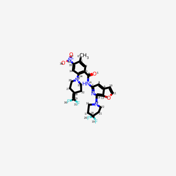 Cc1cc(C(=O)Nc2cc3ccoc3c(N3CCC(F)(F)CC3)n2)c(N2CCC(=C(F)F)CC2)cc1[N+](=O)[O-]